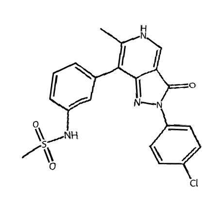 Cc1[nH]cc2c(=O)n(-c3ccc(Cl)cc3)nc-2c1-c1cccc(NS(C)(=O)=O)c1